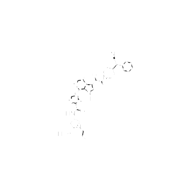 C/C=C/N1C[C@@H](NC(=O)c2ncn(-c3ncc(OC)c4c(C(=O)C(=O)N5CCC(=C(C#N)c6ccccc6)CC5)c[nH]c34)n2)C[C@H]1CO